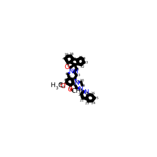 COc1ccc(CNC(=O)C2(CCCCN3CCN(c4ccc5ccccc5n4)CC3)c3ccccc3-c3ccccc32)cc1OC